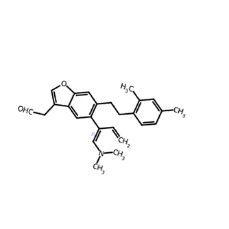 C=C/C(=C\N(C)C)c1cc2c(CC=O)coc2cc1CCc1ccc(C)cc1C